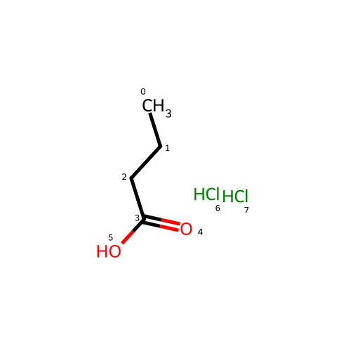 CCCC(=O)O.Cl.Cl